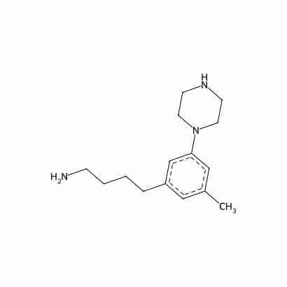 Cc1cc(CCCCN)cc(N2CCNCC2)c1